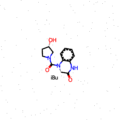 CC[C@H](C)[C@H]1C(=O)Nc2ccccc2N1C(=O)N1CC[C@H](O)C1